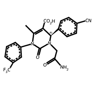 CC1=C(C(=O)O)[C@@H](c2ccc(C#N)cc2)N(CC(N)=O)C(=O)N1c1cccc(C(F)(F)F)c1